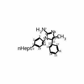 CCCCCCCc1ccc(-n2c(N)nc(C)c2-c2ccccc2)cc1